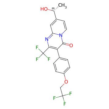 C[C@@H](O)c1ccn2c(=O)c(-c3ccc(OCC(F)(F)F)cc3)c(C(F)(F)F)nc2c1